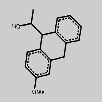 COc1ccc2c(c1)Cc1ccccc1C2C(C)O